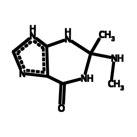 CNC1(C)NC(=O)c2nc[nH]c2N1